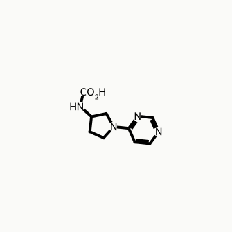 O=C(O)NC1CCN(c2ccncn2)C1